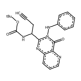 C#CCC(NC(=O)OC(C)(C)C)c1nc2cccnc2c(=O)n1Nc1ccccc1